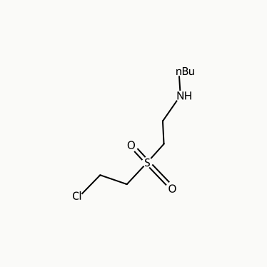 CCCCNCCS(=O)(=O)CCCl